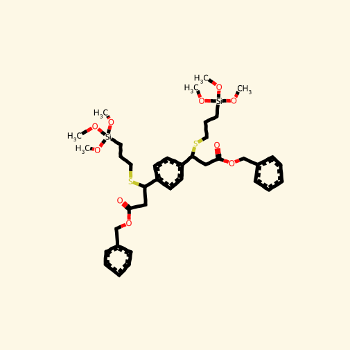 CO[Si](CCCSC(CC(=O)OCc1ccccc1)c1ccc(C(CC(=O)OCc2ccccc2)SCCC[Si](OC)(OC)OC)cc1)(OC)OC